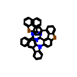 c1ccc(-c2nc(-c3ccccc3)nc(-c3c(-n4c5ccccc5c5ccccc54)ccc4sc5cccc(-c6ccc7sc8ccccc8c7c6)c5c34)n2)cc1